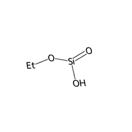 CCO[Si](=O)O